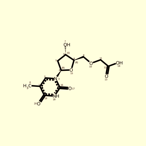 Cc1cn([C@H]2C[C@H](O)[C@@H](COCC(=O)O)O2)c(=O)[nH]c1=O